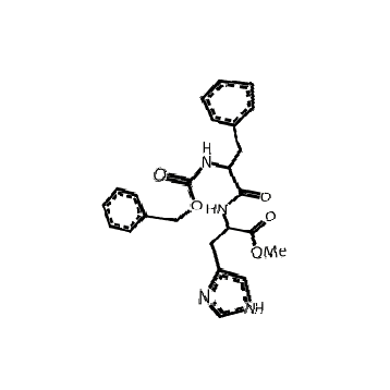 COC(=O)C(Cc1c[nH]cn1)NC(=O)C(Cc1ccccc1)NC(=O)OCc1ccccc1